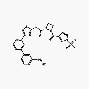 CS(=O)(=O)n1ccc(C(=O)N2CC[C@H]2C(=O)Nc2nc(-c3cccc(-c4ccnc(N)c4)c3)cs2)c1.Cl